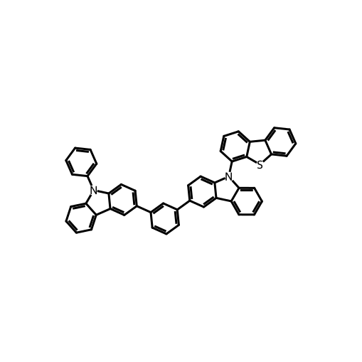 c1ccc(-n2c3ccccc3c3cc(-c4cccc(-c5ccc6c(c5)c5ccccc5n6-c5cccc6c5sc5ccccc56)c4)ccc32)cc1